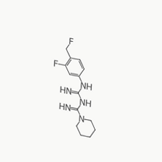 N=C(NC(=N)N1CCCCC1)Nc1ccc(CF)c(F)c1